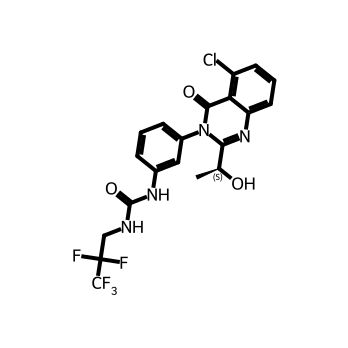 C[C@H](O)c1nc2cccc(Cl)c2c(=O)n1-c1cccc(NC(=O)NCC(F)(F)C(F)(F)F)c1